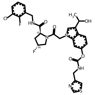 CC(O)c1cn(CC(=O)N2C[C@H](F)C[C@H]2C(=O)NCc2cccc(Cl)c2F)c2cc(OC(=O)NCc3cscn3)ccc12